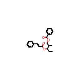 CCC(OC(=O)C=Cc1ccccc1)C(C)COC(=O)c1ccccc1